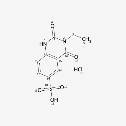 CCn1c(=O)[nH]c2ccc(S(=O)(=O)O)cc2c1=O.Cl